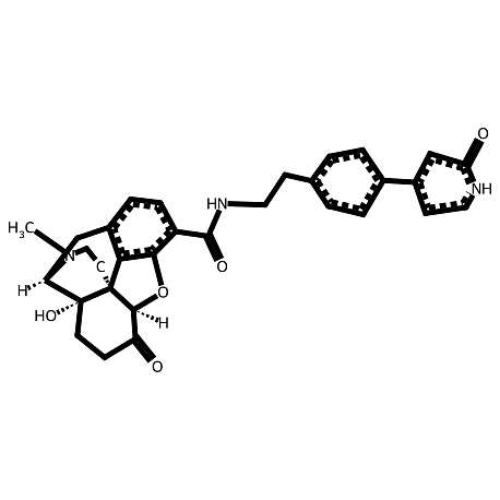 CN1CC[C@]23c4c5ccc(C(=O)NCCc6ccc(-c7cc[nH]c(=O)c7)cc6)c4O[C@H]2C(=O)CC[C@@]3(O)[C@H]1C5